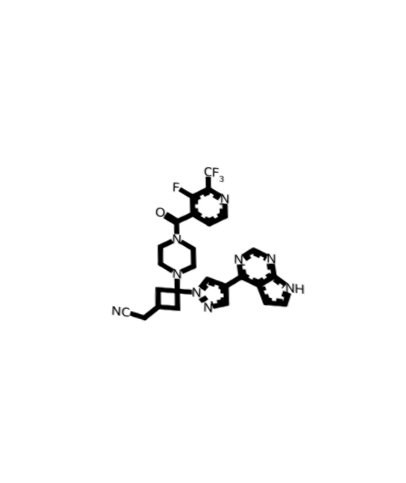 N#CCC1CC(N2CCN(C(=O)c3ccnc(C(F)(F)F)c3F)CC2)(n2cc(-c3ncnc4[nH]ccc34)cn2)C1